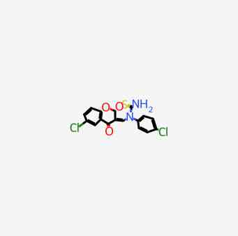 NC(=S)N(/C=C1\C(=O)Oc2ccc(Cl)cc2C1=O)c1ccc(Cl)cc1